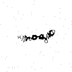 NCC(=CF)COc1ccc(C23CCC(C(=O)N4CC5(CCOCC5)C4)(CC2)C3)cc1